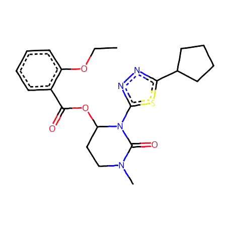 CCOc1ccccc1C(=O)OC1CCN(C)C(=O)N1c1nnc(C2CCCC2)s1